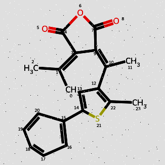 CC(C)=C1C(=O)OC(=O)/C1=C(\C)c1cc(-c2ccccc2)sc1C